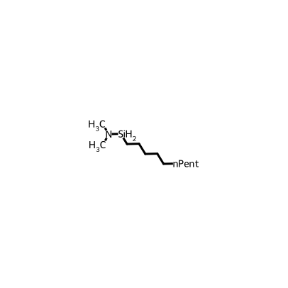 CCCCCCCCCC[SiH2]N(C)C